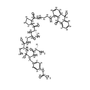 CC(C)C[C@H](NC(=O)[C@H](Cc1ccc(OC(=O)C(F)(F)F)cc1)NC(=O)[C@H](C)N)C(=O)NCC(=O)N[C@@H](CC(C)C)C(=O)N1CCC[C@H]1C(=O)NCCCNc1cccc2c1C(=O)c1ccccc1C2=O